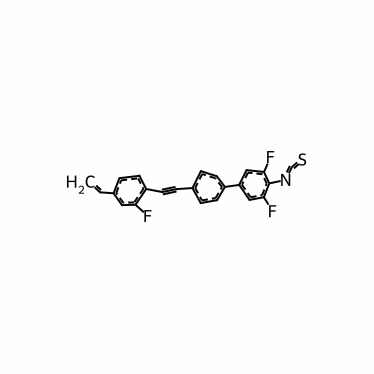 C=Cc1ccc(C#Cc2ccc(-c3cc(F)c(N=C=S)c(F)c3)cc2)c(F)c1